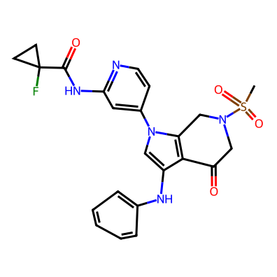 CS(=O)(=O)N1CC(=O)c2c(Nc3ccccc3)cn(-c3ccnc(NC(=O)C4(F)CC4)c3)c2C1